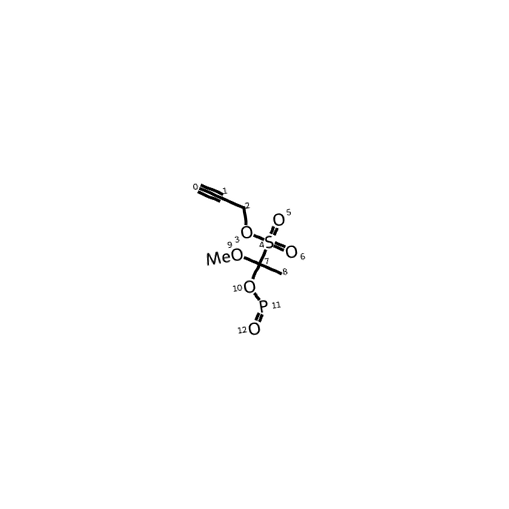 C#CCOS(=O)(=O)C(C)(OC)OP=O